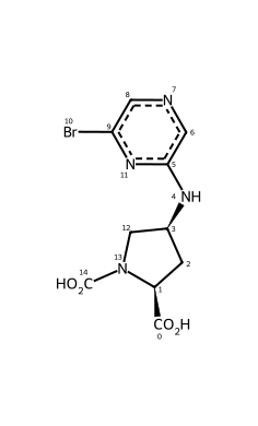 O=C(O)[C@@H]1C[C@H](Nc2cncc(Br)n2)CN1C(=O)O